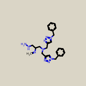 C=NC(CNN)CN(Cc1cn(Cc2ccccc2)nn1)Cc1cn(Cc2ccccc2)nn1